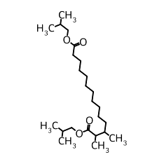 CC(C)COC(=O)CCCCCCCCCCC(C)C(C)C(=O)OCC(C)C